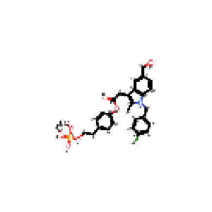 CCOP(=O)(OCC)OCCc1ccc(OC(=O)Cc2c(C)n(Cc3ccc(Cl)cc3)c3ccc(CO)cc23)cc1